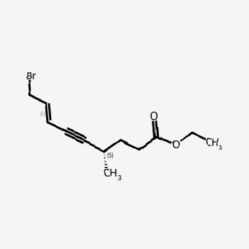 CCOC(=O)CC[C@H](C)C#C/C=C/CBr